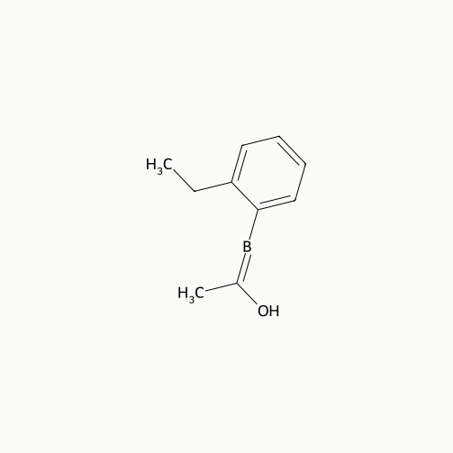 CCc1ccccc1/B=C(\C)O